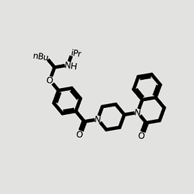 CCCCC(NC(C)C)Oc1ccc(C(=O)N2CCC(N3C(=O)CCc4ccccc43)CC2)cc1